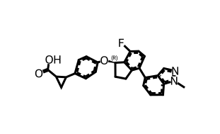 Cn1ncc2c(-c3ccc(F)c4c3CC[C@H]4Oc3ccc(C4CC4C(=O)O)cc3)cccc21